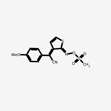 COc1ccc(/C(C#N)=C2\C=CS\C2=N/OS(C)(=O)=O)cc1